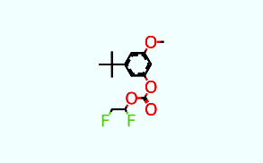 COc1cc(OC(=O)OC(F)CF)cc(C(C)(C)C)c1